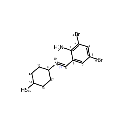 Nc1c(Br)cc(Br)cc1/C=N/C1CCC(S)CC1